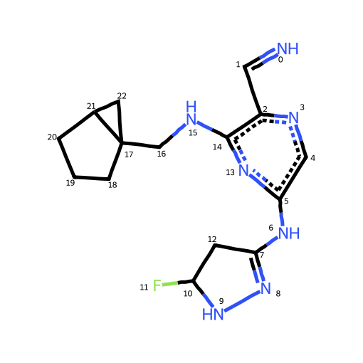 N=Cc1ncc(NC2=NNC(F)C2)nc1NCC12CCCC1C2